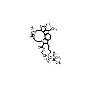 CCOC(=O)c1c(CCCO[Si](C)(C)C(C)(C)C)c2ccc(F)c3c2n1CCCS(=O)(=O)N(C)Cc1nn(C)c(CC)c1-3